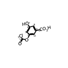 O=C(Cl)Oc1cc(O)cc(C(=O)O)c1